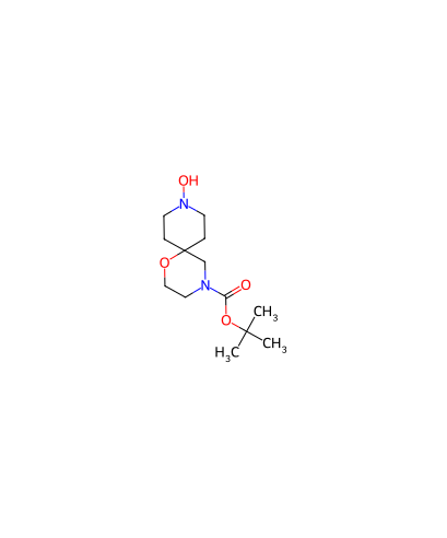 CC(C)(C)OC(=O)N1CCOC2(CCN(O)CC2)C1